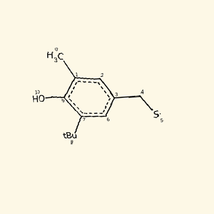 Cc1cc(C[S])cc(C(C)(C)C)c1O